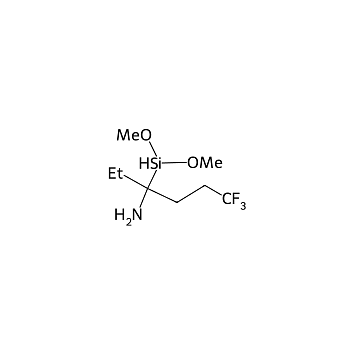 CCC(N)(CCC(F)(F)F)[SiH](OC)OC